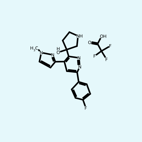 Cn1ccc(-c2cc(-c3ccc(F)cc3)nnc2C2(O)CCNC2)n1.O=C(O)C(F)(F)F